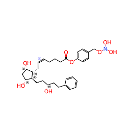 O=C(CCC/C=C\C[C@@H]1[C@@H](CC[C@@H](O)CCc2ccccc2)[C@H](O)C[C@@H]1O)Oc1ccc(CON(O)O)cc1